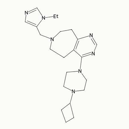 CCn1cncc1CN1CCc2ncnc(N3CCN(C4CCC4)CC3)c2CC1